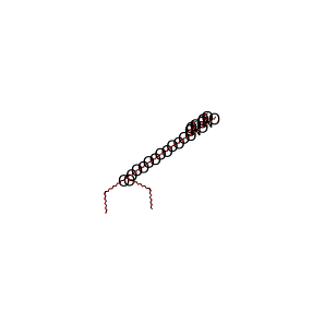 CCCCCCCC/C=C\CCCCCCCCOCC(COCCOCCOCCOCCOCCOCCOCCOCCOCCOCCOC(=O)CN(CCOC(=O)CN(CCOC)C(=O)OC(C)(C)C)C(=O)OC(C)(C)C)OCCCCCCCC/C=C\CCCCCCCC